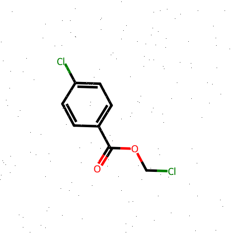 O=C(OCCl)c1ccc(Cl)cc1